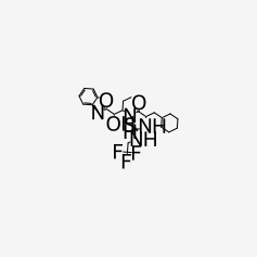 CCC(NC(=O)C(CC1CCCCC1)NC(=S)NCC(F)(F)F)C(O)c1nc2ccccc2o1